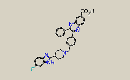 O=C(O)c1ccc2nc(-c3ccc(CN4CCC(c5nc6ccc(F)cc6[nH]5)CC4)cc3)c(-c3ccccc3)nc2c1